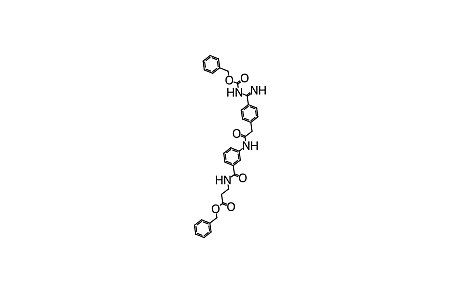 N=C(NC(=O)OCc1ccccc1)c1ccc(CC(=O)Nc2cccc(C(=O)NCCC(=O)OCc3ccccc3)c2)cc1